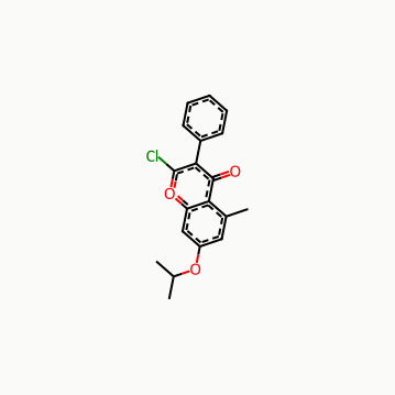 Cc1cc(OC(C)C)cc2oc(Cl)c(-c3ccccc3)c(=O)c12